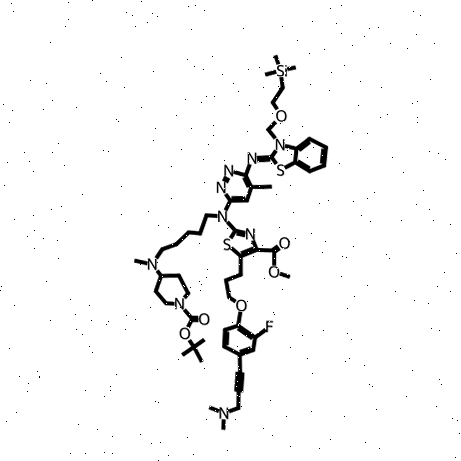 COC(=O)c1nc(N(CCCCCN(C)C2CCN(C(=O)OC(C)(C)C)CC2)c2cc(C)c(/N=c3\sc4ccccc4n3COCC[Si](C)(C)C)nn2)sc1CCCOc1ccc(C#CCN(C)C)cc1F